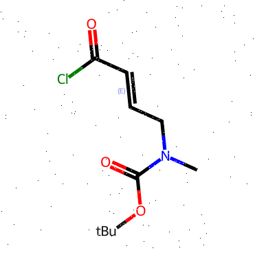 CN(C/C=C/C(=O)Cl)C(=O)OC(C)(C)C